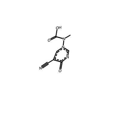 CN(C(=O)O)n1cnc(=O)c(C#N)c1